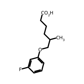 CC(CCCC(=O)O)COc1cccc(F)c1